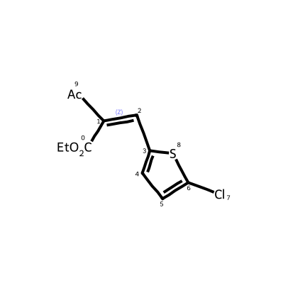 CCOC(=O)/C(=C\c1ccc(Cl)s1)C(C)=O